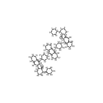 c1ccc(-c2cccc3c2oc2c(-c4ccc(-c5c6ccccc6c(-c6ccc(-c7c8ccccc8cc8c7oc7c(-c9ccccc9)cccc78)cc6)c6ccccc56)cc4)c4ccccc4cc23)cc1